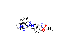 CS(=O)(=O)Nc1cccc2c1CCN(c1nc(N)c3c(-c4ccccn4)cccc3n1)C2